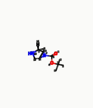 CC(C)(C)OC(=O)N1C[C@@H]2CC1CN2